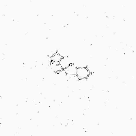 O=S(=O)(Cc1ccncc1)c1nccs1